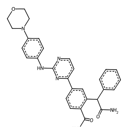 NC(=O)c1ccc(-c2ccnc(Nc3ccc(N4CCOCC4)cc3)n2)cc1C(C(N)=O)c1ccccc1